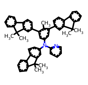 Cc1c(-c2ccc3c(c2)C(C)(C)c2ccccc2-3)cc(N(c2ccc3c(c2)C(C)(C)c2ccccc2-3)c2ccccn2)cc1-c1ccc2c(c1)C(C)(C)c1ccccc1-2